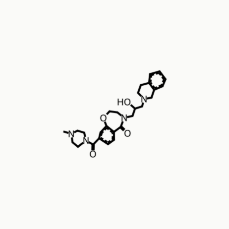 CN1CCN(C(=O)c2ccc3c(c2)OCCN(CC(O)CN2CCc4ccccc4C2)C3=O)CC1